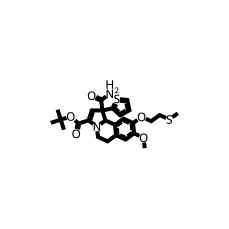 COc1cc2c(cc1OCCSC)C1N(CC2)C(C(=O)OC(C)(C)C)=CC1(C(N)=O)c1cccs1